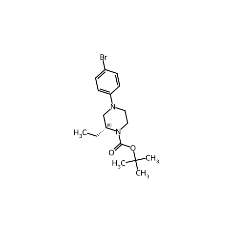 CC[C@@H]1CN(c2ccc(Br)cc2)CCN1C(=O)OC(C)(C)C